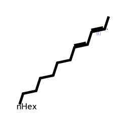 C/[C]=C/C=CCCCCCCCCCCCC